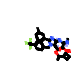 C\N=C(/N=C1/N=C(c2cccc(C)c2)N(Cc2ccc(C(F)(F)F)cc2)/C1=C\OC(C)C1CCC1)C(=O)O